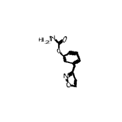 NC(=O)Oc1cccc(-c2ccon2)c1